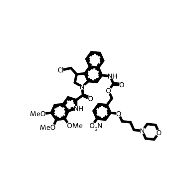 COc1cc2cc(C(=O)N3CC(CCl)c4c3cc(NC(=O)OCc3ccc([N+](=O)[O-])cc3OCCCN3CCOCC3)c3ccccc43)[nH]c2c(OC)c1OC